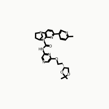 Cc1ccc(-c2ccc3c(n2)N(C(=O)Nc2cncc(OCC[C@@H]4COC(C)(C)O4)n2)C2CCN3C2)cn1